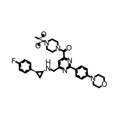 CS(=O)(=O)N1CCN(C(=O)c2cc(CN[C@@H]3C[C@H]3c3ccc(F)cc3)nc(-c3ccc(N4CCOCC4)cc3)n2)CC1